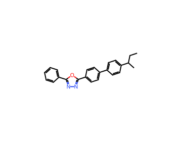 CCC(C)c1ccc(-c2ccc(-c3nnc(-c4ccccc4)o3)cc2)cc1